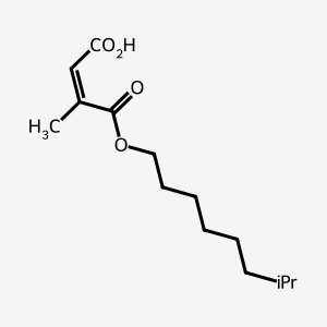 C/C(=C/C(=O)O)C(=O)OCCCCCCC(C)C